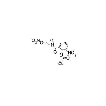 CCC(=O)Oc1c(C(=O)NCCO[N+](=O)[O-])cccc1[N+](=O)[O-]